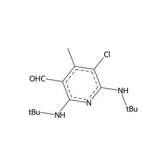 Cc1c(Cl)c(NC(C)(C)C)nc(NC(C)(C)C)c1C=O